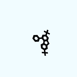 CC(C)(C)c1ccc2c(c1)Cc1cc(C(C)(C)C)cc(-c3ccccc3)c1-2